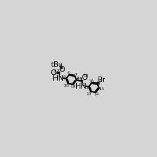 CC(C)(C)OC(=O)Nc1ccc(C(=O)Nc2cccc(Br)c2)cc1